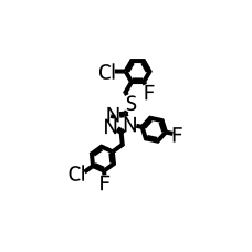 Fc1ccc(-n2c(Cc3ccc(Cl)c(F)c3)nnc2SCc2c(F)cccc2Cl)cc1